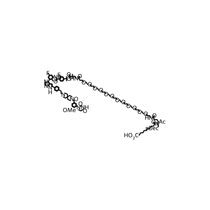 CCCCCCCCCCCN(C(=O)CCCCCCCCCC(=O)O)C(CCC(=O)NCCOCCOCCOCCOCCOCCOCCOCCOCCOCCOCCOCCOCCC(=O)NCC(C)(C)C(=O)OC(C)(C)c1ccc(C(=O)Nc2cc(F)cc(-c3ncnc4[nH]c(-c5ccc(CCN6CCC7(CC6)CCN(C(=O)c6ccc(OC)c(N8CCC(=O)NC8=O)c6)CC7)cc5)cc34)c2C)c(F)c1)C(C)=O